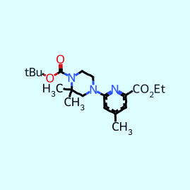 CCOC(=O)c1cc(C)cc(N2CCN(C(=O)OC(C)(C)C)C(C)(C)C2)n1